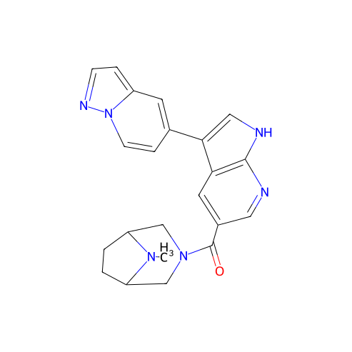 CN1C2CCC1CN(C(=O)c1cnc3[nH]cc(-c4ccn5nccc5c4)c3c1)C2